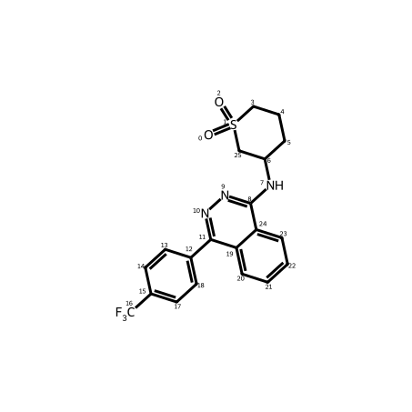 O=S1(=O)CCCC(Nc2nnc(-c3ccc(C(F)(F)F)cc3)c3ccccc23)C1